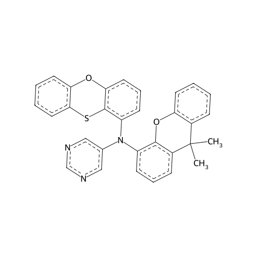 CC1(C)c2ccccc2Oc2c(N(c3cncnc3)c3cccc4c3Sc3ccccc3O4)cccc21